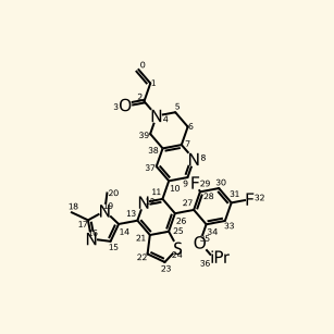 C=CC(=O)N1CCc2ncc(-c3nc(-c4cnc(C)n4C)c4ccsc4c3-c3c(F)cc(F)cc3OC(C)C)cc2C1